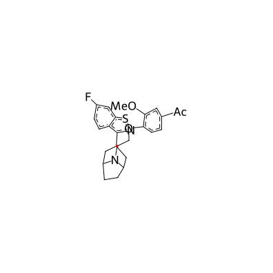 COc1cc(C(C)=O)ccc1OCCN1C2CCC1CC(c1nsc3cc(F)ccc13)C2